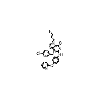 O=c1nc(Nc2ccc(Oc3ccccn3)cc2)n(Cc2ccc(Cl)cc2)c2ncn(CCCF)c12